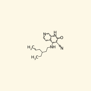 C=CCC(CC)CCNc1c(C#N)c(=O)[nH]c2cnccc12